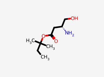 CCC(C)(C)OC(=O)C[C@@H](N)CO